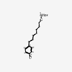 [CH2]CCCCCOCCCCCCCc1ccc(Cl)cc1